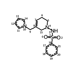 O=S(=O)(NN1CCC=C(Cn2cccc2)C1)c1ccccc1